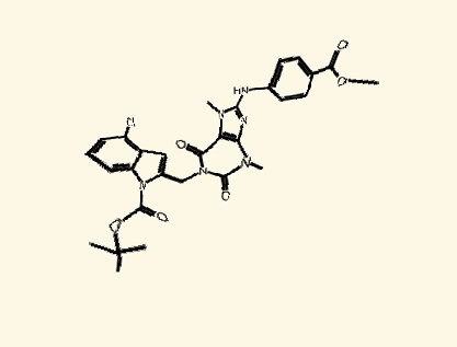 COC(=O)c1ccc(Nc2nc3c(c(=O)n(Cc4cc5c(Cl)cccc5n4C(=O)OC(C)(C)C)c(=O)n3C)n2C)cc1